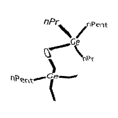 CCCC[CH2][Ge]([CH3])([CH3])[O][Ge]([CH2]CC)([CH2]CC)[CH2]CCCC